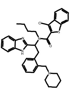 CCCCN(C(=O)c1sc2ccccc2c1Cl)C(Cc1ccccc1CN1CCCCC1)c1nc2ccccc2[nH]1